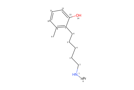 CCCNCCCCCc1c(C)cccc1O